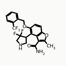 Cc1oc2ccc(OCc3ccccc3C(F)(F)F)c(C3CNCC3(F)F)c2c1C(N)=O